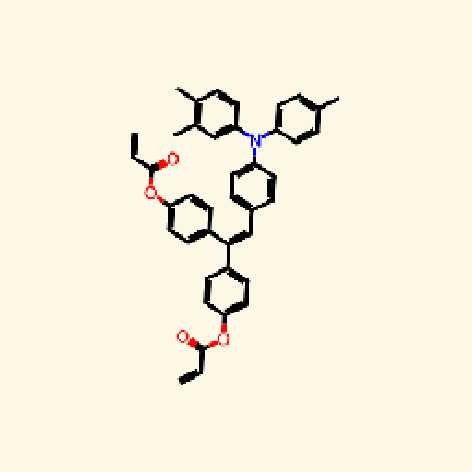 C=CC(=O)Oc1ccc(C(=Cc2ccc(N(c3ccc(C)cc3)c3ccc(C)c(C)c3)cc2)c2ccc(OC(=O)C=C)cc2)cc1